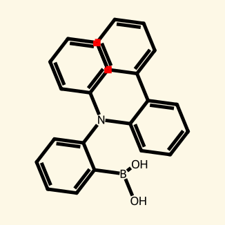 OB(O)c1ccccc1N(c1ccccc1)c1ccccc1-c1ccccc1